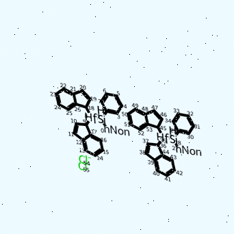 CCCCCCCCC[SiH](c1ccccc1)[Hf+]([CH]1C=Cc2ccccc21)[CH]1C=Cc2ccccc21.CCCCCCCCC[SiH](c1ccccc1)[Hf+]([CH]1C=Cc2ccccc21)[CH]1C=Cc2ccccc21.[Cl-].[Cl-]